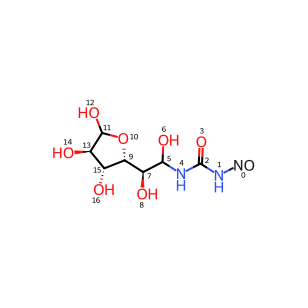 O=NNC(=O)NC(O)[C@@H](O)[C@H]1OC(O)[C@H](O)[C@H]1O